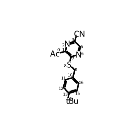 CC(=O)c1nc(C#N)cnc1SCc1ccc(C(C)(C)C)cc1